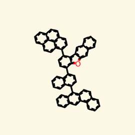 c1ccc2cc3c(cc2c1)oc1c(-c2ccc(-c4c5ccccc5cc5c4ccc4ccccc45)c4ccccc24)ccc(-c2ccc4ccc5cccc6ccc2c4c56)c13